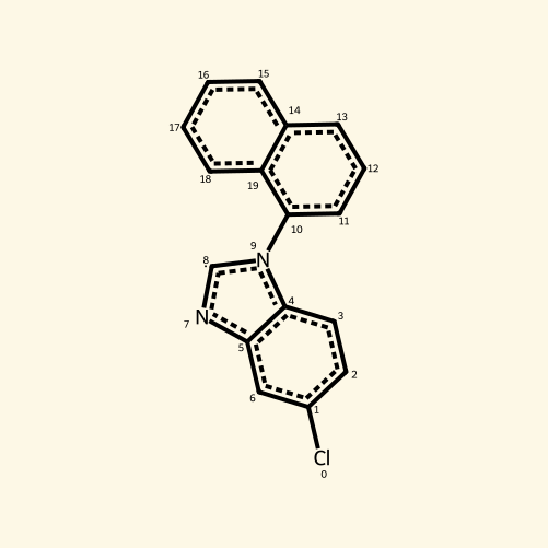 Clc1ccc2c(c1)n[c]n2-c1cccc2ccccc12